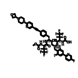 COC(=O)N[C@H](C(=O)N[C@@H](Cc1ccc(C#Cc2ccc(N3CCN(C4COC4)CC3)nc2)cc1)[C@@H](O)CN(Cc1c(F)cc(-c2ccc(F)cn2)cc1F)NC(=O)[C@@H](NC(=O)O)C(C)(C)C(F)(F)F)C(C)(C)C(F)(F)F